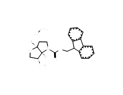 CC(C)(C)O[C@@H]1CN(C(=O)OCC2c3ccccc3-c3ccccc32)[C@H]2[C@@H]1OC[C@@H]2O